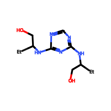 CCC(CO)Nc1n[c]nc(NC(CC)CO)n1